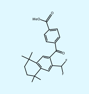 COC(=O)c1ccc(C(=O)c2cc3c(cc2C(F)F)C(C)(C)CCC3(C)C)cc1